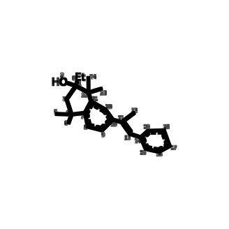 CCC1(O)CC(C)(C)c2ccc(/C(C)=C/c3ccccc3)cc2C1(C)C